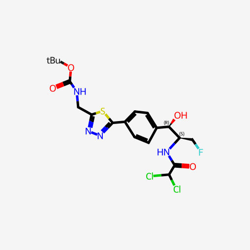 CC(C)(C)OC(=O)NCc1nnc(-c2ccc([C@@H](O)[C@@H](CF)NC(=O)C(Cl)Cl)cc2)s1